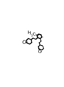 Cc1cc[c]c(CCC2CCC3OC3C2)c1CCC1CCC2OC2C1